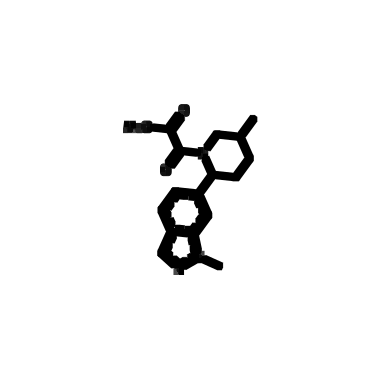 COC(=O)C(=O)N1CC(C)CCC1c1ccc2cnn(C)c2c1